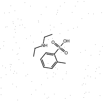 CCNCC.Cc1ccccc1S(=O)(=O)O